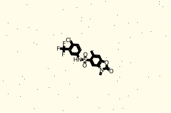 Cc1cc2oc(=O)n(C)c2cc1S(=O)(=O)Nc1ccc(Cl)c(C(F)(F)F)c1